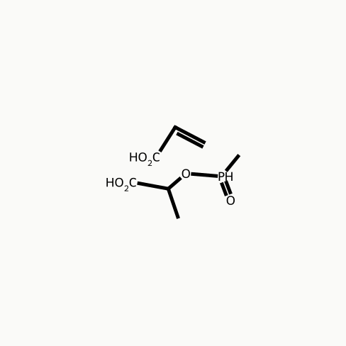 C=CC(=O)O.CC(O[PH](C)=O)C(=O)O